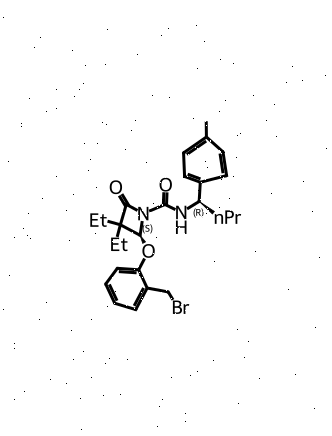 CCC[C@@H](NC(=O)N1C(=O)C(CC)(CC)[C@@H]1Oc1ccccc1CBr)c1ccc(C)cc1